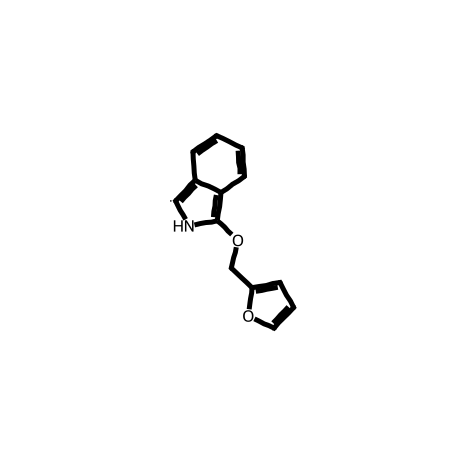 [c]1[nH]c(OCc2ccco2)c2ccccc12